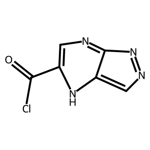 O=C(Cl)c1cnc2nncc-2[nH]1